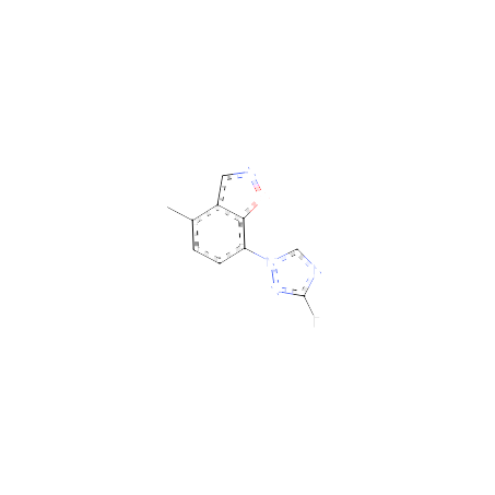 CCc1ncn(-c2ccc(C)c3cnoc23)n1